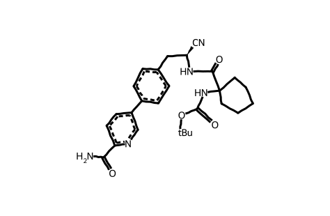 CC(C)(C)OC(=O)NC1(C(=O)N[C@H](C#N)Cc2ccc(-c3ccc(C(N)=O)nc3)cc2)CCCCC1